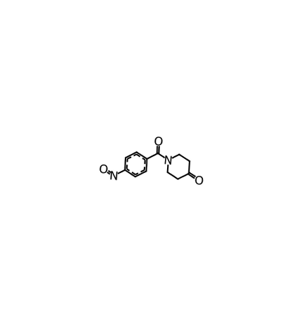 O=Nc1ccc(C(=O)N2CCC(=O)CC2)cc1